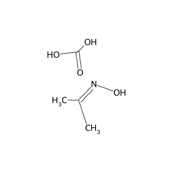 CC(C)=NO.O=C(O)O